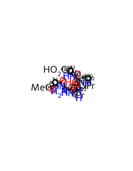 COC(=O)c1cccc(C(=O)NC[C@H](N)C(=O)N[C@H](C(=O)N[C@@H](CC(C)C)C(=O)N[C@@H](Cc2ccccc2)[C@@H](O)C(=O)Nc2cccc(C(=O)O)c2)C(C)C)c1